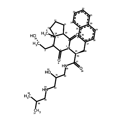 CCC(CC)C(=O)N(C(=O)C1CCCN1)[C@@H](Cc1ccc2ccccc2c1)C(=O)NCC(O)CNCC(C)C.Cl